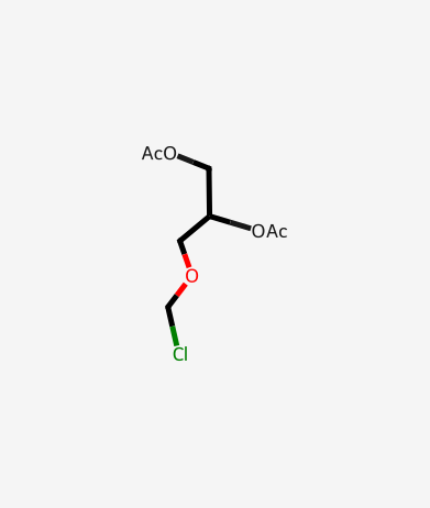 CC(=O)OCC(COCCl)OC(C)=O